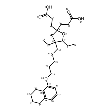 CCC1OC(CCC(=O)O)(CCC(=O)O)SC1(CC)CSCCCOc1cccc2c1CCCC2